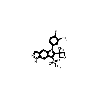 Cc1cc(-n2c(C3(C)COC3)c(S(C)(=O)=O)c3cc4[nH]ncc4cc32)ccc1F